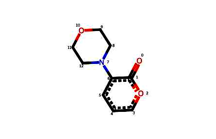 O=c1occcc1N1CCOCC1